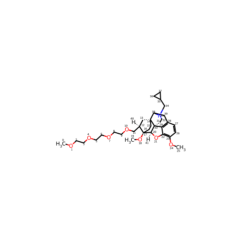 COCCOCCOCCOC[C@H]1C[C@@]23CC[C@]1(OC)[C@@H]1Oc4c(OC)ccc5c4[C@@]12CCN(CC1CC1)C3C5